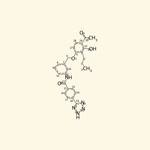 CCCc1c(OCc2cccc(NC(=O)c3ccc(-c4nn[nH]n4)cc3)c2)ccc(C(C)=O)c1O